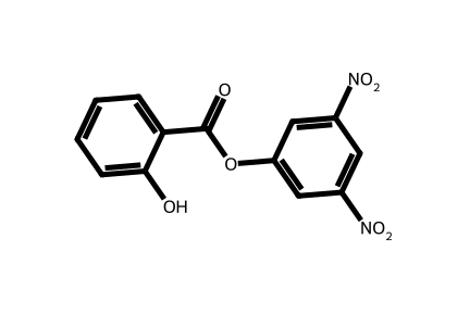 O=C(Oc1cc([N+](=O)[O-])cc([N+](=O)[O-])c1)c1ccccc1O